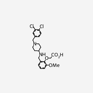 COc1cccc(CNC2CCN(Cc3ccc(Cl)c(Cl)c3)CC2)c1OCC(=O)O